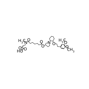 COc1ccc(CCO[C@@H]2CCCC[C@H]2N2CCC(OC(=O)CCCCCC(=O)N(C)CCS(=O)(=O)O)C2)cc1OC